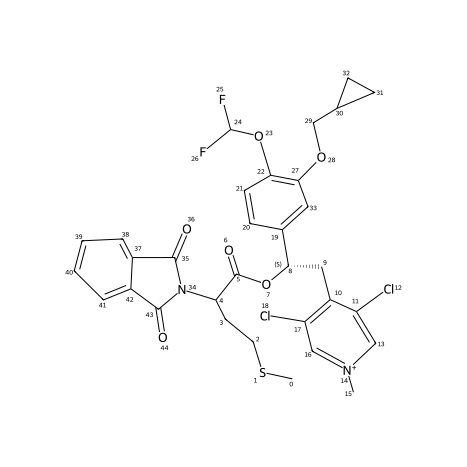 CSCCC(C(=O)O[C@@H](Cc1c(Cl)c[n+](C)cc1Cl)c1ccc(OC(F)F)c(OCC2CC2)c1)N1C(=O)c2ccccc2C1=O